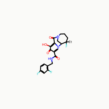 CCC1(F)CCCN2CC1n1cc(C(=O)NCc3ccc(F)cc3F)c(=O)c(O)c1C2=O